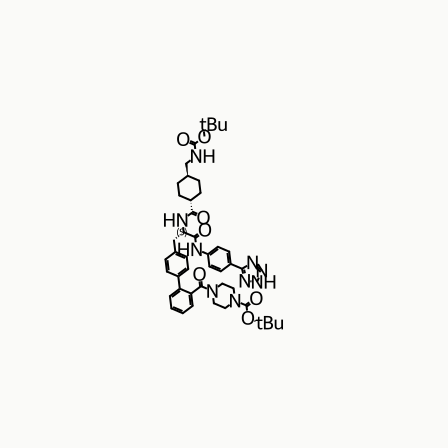 CC(C)(C)OC(=O)NC[C@H]1CC[C@H](C(=O)N[C@@H](Cc2ccc(-c3ccccc3C(=O)N3CCN(C(=O)OC(C)(C)C)CC3)cc2)C(=O)Nc2ccc(-c3nn[nH]n3)cc2)CC1